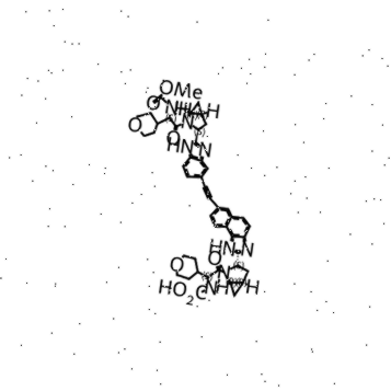 COC(=O)N[C@H](C(=O)N1[C@@H]2C[C@@H]2C[C@H]1c1nc2cc(C#Cc3ccc4c(ccc5nc([C@@H]6C[C@H]7C[C@H]7N6C(=O)[C@H](C6CCOCC6)N(C)C(=O)O)[nH]c54)c3)ccc2[nH]1)C1CCOCC1